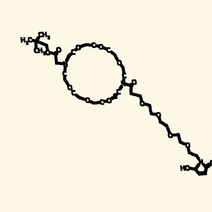 CC(C)(C)COC(=O)CN1CCOCCOCCOCCN(C(=O)CCOCCOCCOCCOCCN2C(=O)C=CC2O)CCOCCOCCOCC1